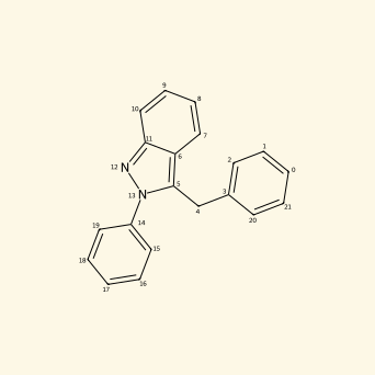 c1ccc(Cc2c3ccccc3nn2-c2ccccc2)cc1